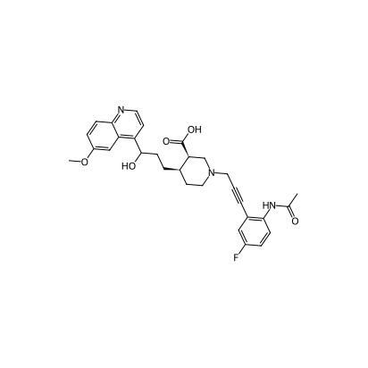 COc1ccc2nccc(C(O)CC[C@@H]3CCN(CC#Cc4cc(F)ccc4NC(C)=O)C[C@@H]3C(=O)O)c2c1